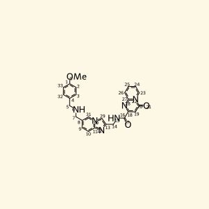 COc1ccc(CNCc2ccc3nc(CNC(=O)c4cc(=O)n5ccccc5n4)cn3c2)cc1